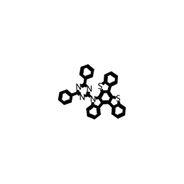 c1ccc(-c2nc(-c3ccccc3)nc(-n3c4ccccc4c4c5c6ccccc6sc5c5c6ccccc6sc5c43)n2)cc1